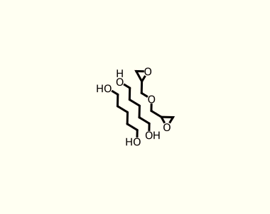 C(OCC1CO1)C1CO1.OCCCCCO.OCCCCCO